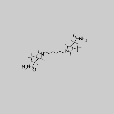 Cc1c2c(c(C)n1CCCCCCn1c(C)c3c(c1C)C(C)(C(N)=O)CC3(C)C)C(C)(C(N)=O)CC2(C)C